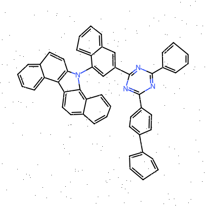 c1ccc(-c2ccc(-c3nc(-c4ccccc4)nc(-c4cc(-n5c6ccc7ccccc7c6c6ccc7ccccc7c65)c5ccccc5c4)n3)cc2)cc1